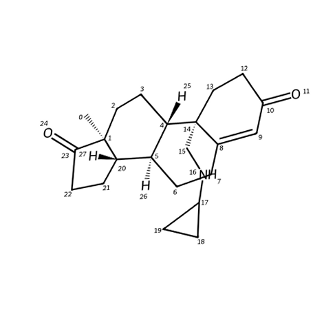 C[C@]12CC[C@H]3[C@@H](CCC4=CC(=O)CC[C@@]43CNC3CC3)[C@@H]1CCC2=O